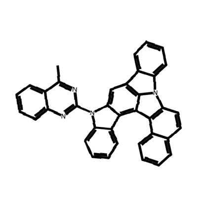 Cc1nc(-n2c3ccccc3c3c4c5c6ccccc6ccc5n5c6ccccc6c(cc32)c45)nc2ccccc12